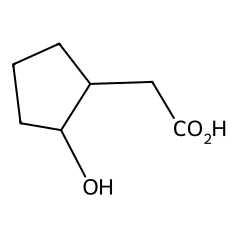 O=C(O)CC1CCCC1O